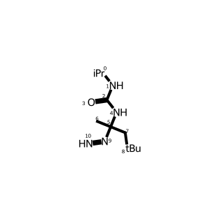 CC(C)NC(=O)NC(C)(CC(C)(C)C)N=N